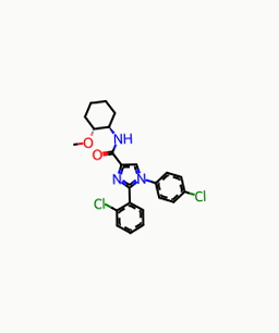 CO[C@@H]1CCCC[C@H]1NC(=O)c1cn(-c2ccc(Cl)cc2)c(-c2ccccc2Cl)n1